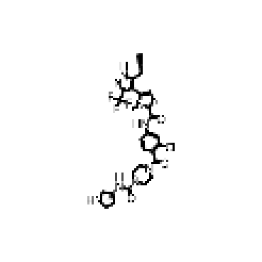 C#CCc1[nH]nc(C(F)(F)F)c1-c1cnc(C(=O)Nc2ccc(C(=O)N3CCN(C(=O)N[C@H]4CCNC4)CC3)c(Cl)c2)n1C